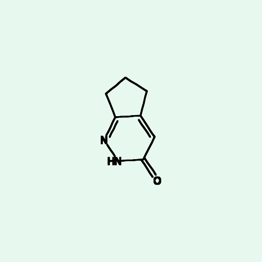 O=c1cc2c(n[nH]1)CCC2